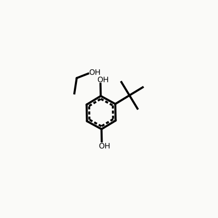 CC(C)(C)c1cc(O)ccc1O.CCO